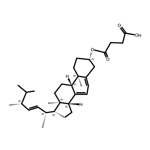 CC(C)[C@@H](C)C=C[C@@H](C)[C@H]1CC[C@H]2C3=CC=C4C[C@@H](OC(=O)CCC(=O)O)CC[C@]4(C)[C@H]3CC[C@]12C